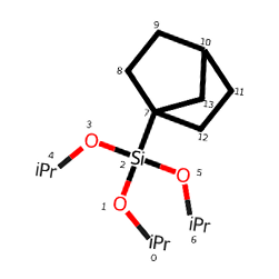 CC(C)O[Si](OC(C)C)(OC(C)C)C12CCC(CC1)C2